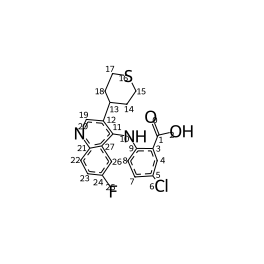 O=C(O)c1cc(Cl)ccc1Nc1c(C2CCSCC2)cnc2ccc(F)cc12